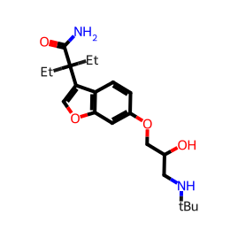 CCC(CC)(C(N)=O)c1coc2cc(OCC(O)CNC(C)(C)C)ccc12